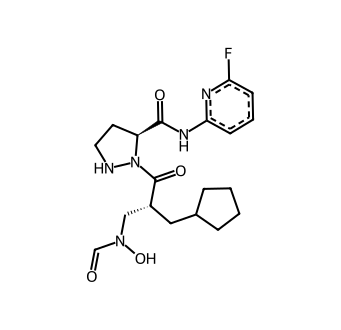 O=CN(O)C[C@@H](CC1CCCC1)C(=O)N1NCC[C@H]1C(=O)Nc1cccc(F)n1